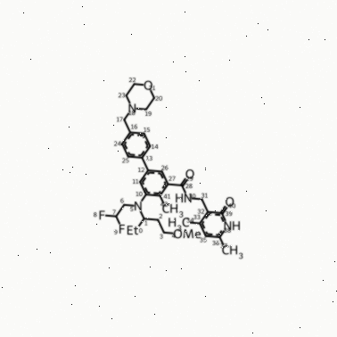 CCC(CCOC)N(CC(F)F)c1cc(-c2ccc(CN3CCOCC3)cc2)cc(C(=O)NCc2c(C)cc(C)[nH]c2=O)c1C